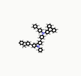 CC1(C)c2ccccc2-c2ccc(-c3ccc4c(c3)c3cc(-c5ccc(N(c6ccc(-c7ccccc7)cc6)c6ccc7c8ccccc8c8ccccc8c7c6)cc5)ccc3n4-c3ccccc3)cc21